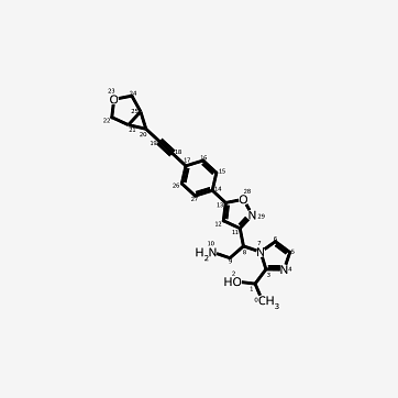 CC(O)c1nccn1C(CN)c1cc(-c2ccc(C#CC3C4COCC34)cc2)on1